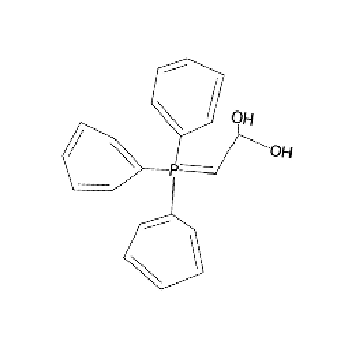 OC(O)C=P(c1ccccc1)(c1ccccc1)c1ccccc1